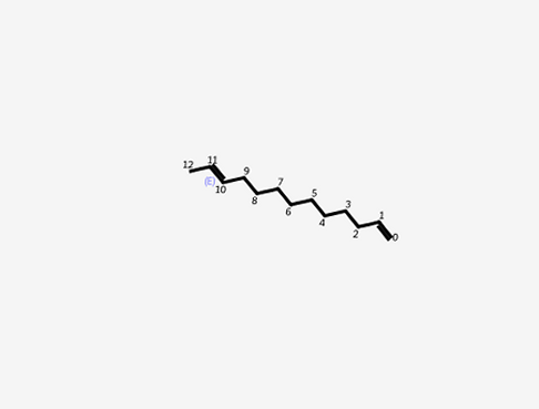 C=CCCCCCCCC/C=C/C